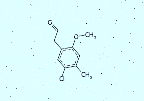 COc1cc(C)c(Cl)cc1CC=O